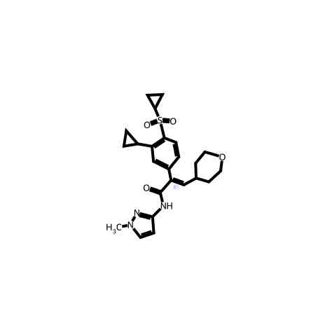 Cn1ccc(NC(=O)/C(=C/C2CCOCC2)c2ccc(S(=O)(=O)C3CC3)c(C3CC3)c2)n1